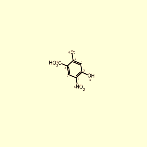 CCc1cc(O)c([N+](=O)[O-])cc1C(=O)O